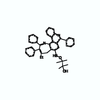 CCC1=C(c2ccccc2)C(c2ccccc2)=Nc2c(c(BOC(C)(C)C(C)(C)O)cc3c(-c4ccccc4)nc4ccccc4c23)C1